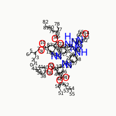 CCCCC(CC)COC(=O)c1cc(N=Nc2ccc(Nc3nc(Nc4ccc(N=Nc5cc(C(=O)OC(CC)CCCC)cc(C(=O)OC(CC)CCCC)c5)cc4)nc(N4CCOCC4)n3)cc2)cc(C(=O)OCC(CC)CCCC)c1